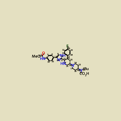 COC(=O)Nc1ccc(-c2c[nH]c(C3NCC(N4CCC(N(C(=O)O)C(C)(C)C)CC4)CC3c3ccc(F)cc3)n2)cc1